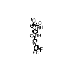 CCOC(=O)C1(C)Oc2ccc(NC(=O)C3CCN(c4cc(F)c(F)c(F)c4)CC3)cc2NC1=O